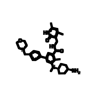 Cc1cc(C)c(CNC(=O)c2cc(-c3ccc(CN4CCOCC4)cc3)cc(N(C)[C@H]3CC[C@H](N)CC3)c2C)c(=O)[nH]1